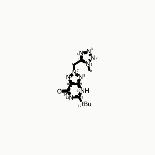 Cn1nnnc1Cn1nc2[nH]c(C(C)(C)C)nc(=O)c2n1